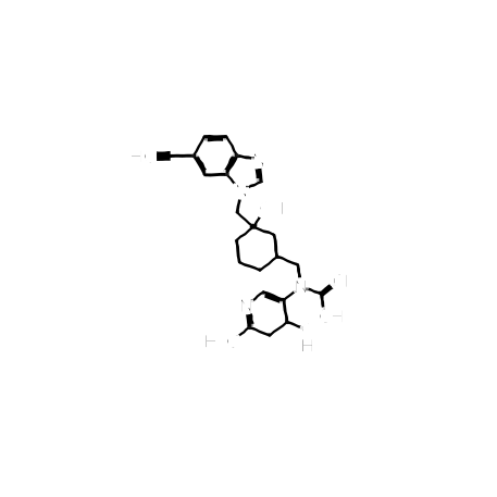 C#Cc1ccc2ncn(CC3(C)CCCC(CN(C(=C)C)C4=CN=C(C)CC4C)C3)c2c1